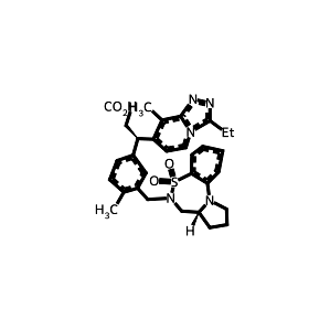 CCc1nnc2c(C)c([C@H](CC(=O)O)c3ccc(C)c(CN4C[C@H]5CCCN5c5ccccc5S4(=O)=O)c3)ccn12